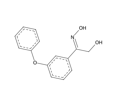 OCC(=NO)c1cccc(Oc2ccccc2)c1